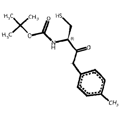 Cc1ccc([CH]C(=O)[C@H](CS)NC(=O)OC(C)(C)C)cc1